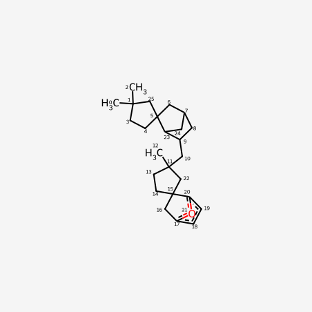 CC1(C)CCC2(CC3CC(CC4(C)CCC5(Cc6ccc5o6)C4)C2C3)C1